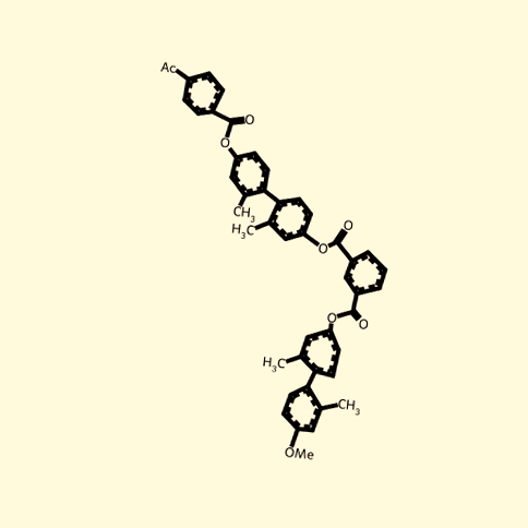 COc1ccc(-c2ccc(OC(=O)c3cccc(C(=O)Oc4ccc(-c5ccc(OC(=O)c6ccc(C(C)=O)cc6)cc5C)c(C)c4)c3)cc2C)c(C)c1